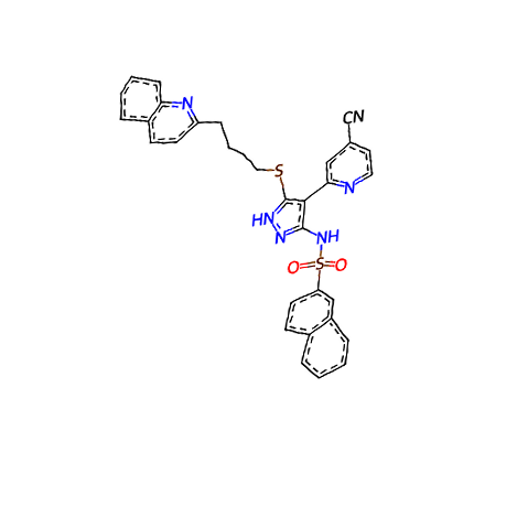 N#Cc1ccnc(-c2c(NS(=O)(=O)c3ccc4ccccc4c3)n[nH]c2SCCCCc2ccc3ccccc3n2)c1